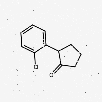 O=C1CCCC1c1ccccc1Cl